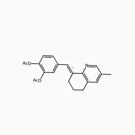 CC(=O)Oc1ccc(/C=C2\CCCc3cc(C)cnc32)cc1OC(C)=O